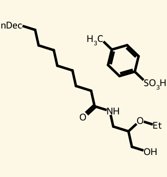 CCCCCCCCCCCCCCCCCC(=O)NCC(CO)OCC.Cc1ccc(S(=O)(=O)O)cc1